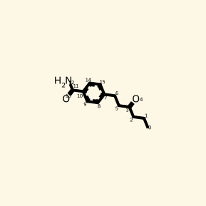 CCCC(=O)CCc1ccc(C(N)=O)cc1